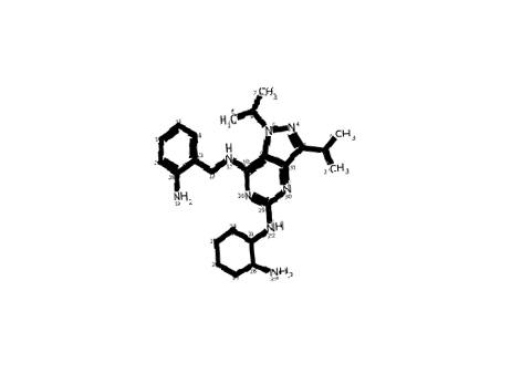 CC(C)c1nn(C(C)C)c2c(NCc3ccccc3N)nc(NC3CCCCC3N)nc12